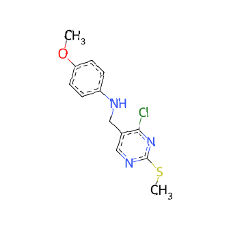 COc1ccc(NCc2cnc(SC)nc2Cl)cc1